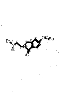 CCCCOc1ccc2c(=O)n(CCN(CC)CC)sc2c1